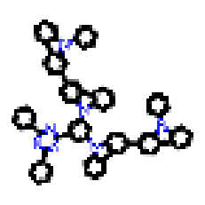 c1ccc(-c2nc(-c3ccccc3)nc(-c3cc(-n4c5ccccc5c5cc(-c6ccc7c8ccccc8n(-c8ccccc8)c7c6)ccc54)cc(-n4c5ccccc5c5cc(-c6ccc7c8ccccc8n(-c8ccccc8)c7c6)ccc54)c3)n2)cc1